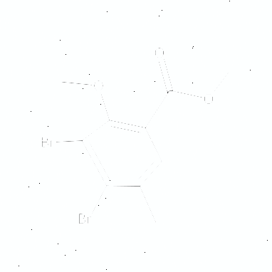 COC(=O)c1cc(C)c(Br)c(Br)c1OC